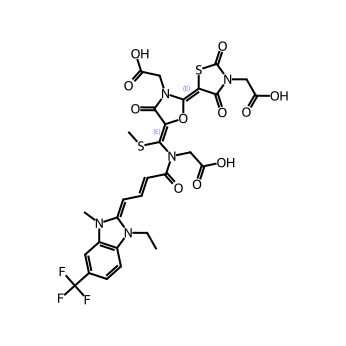 CCN1C(=CC=CC(=O)N(CC(=O)O)/C(SC)=c2\o/c(=C3/SC(=O)N(CC(=O)O)C3=O)n(CC(=O)O)c2=O)N(C)c2cc(C(F)(F)F)ccc21